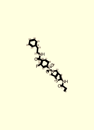 C=CC(=O)Nc1cc2c(s1)CN(S(=O)(=O)c1ccc(C(=O)NCCc3ccccc3)c(F)c1)C2